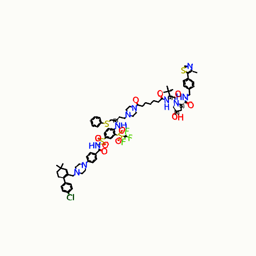 Cc1ncsc1-c1ccc(CNC(=O)[C@@H]2C[C@@H](O)CN2C(=O)[C@@H](NC(=O)CCCCCC(=O)N2CCN(CC[C@H](CSc3ccccc3)Nc3ccc(S(=O)(=O)NC(=O)c4ccc(N5CCN(CC6=C(c7ccc(Cl)cc7)CCC(C)(C)C6)CC5)cc4)cc3S(=O)(=O)C(F)(F)F)CC2)C(C)(C)C)cc1